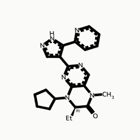 CC[C@@H]1C(=O)N(C)c2cnc(-c3cn[nH]c3-c3ccccn3)nc2N1C1CCCC1